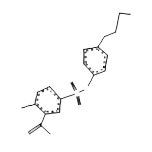 CCCCc1ccc(NS(=O)(=O)c2ccc(C)c(C(=O)O)c2)cc1